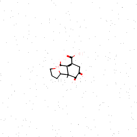 CC1(C2CCCO2)C(=O)C(=O)CC(C(=O)O)=C1C(=O)O